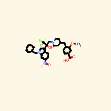 COc1cc(C(=O)O)ccc1CC1CCN(CC(O)(c2cn(Cc3ccccc3)c3cc([N+](=O)[O-])ccc23)C(F)(F)F)CC1